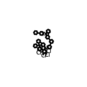 Clc1c(Cl)c(Cl)c(N(c2cccc(-c3cccc(-c4ccc5c(c4)c4ccccc4n5-c4ccc(-c5ccccc5)cc4)c3)c2)c2ccc3c(c2)C(c2ccccc2)(c2ccccc2)c2ccccc2-3)c(Cl)c1Cl